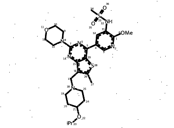 COc1ncc(-c2nc(N3CCOCC3)nc3c(CN4CCC(OC(C)C)CC4)c(C)sc23)cc1NS(C)(=O)=O